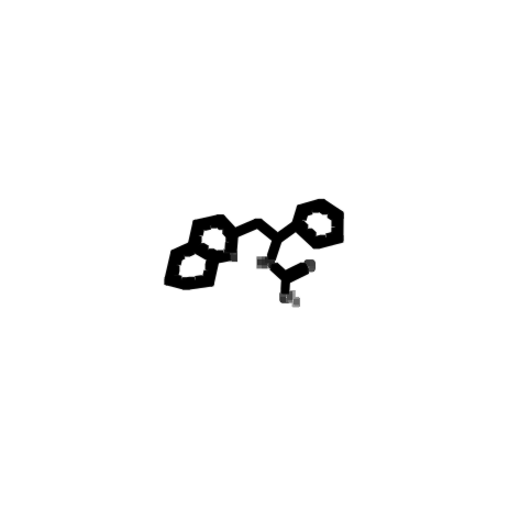 O=C(NC(Cc1ccc2ccccc2n1)c1ccccc1)C(F)(F)F